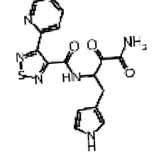 NC(=O)C(=O)C(Cc1cc[nH]c1)NC(=O)c1nsnc1-c1ccccn1